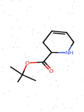 CC(C)(C)OC(=O)C1CC=CCN1